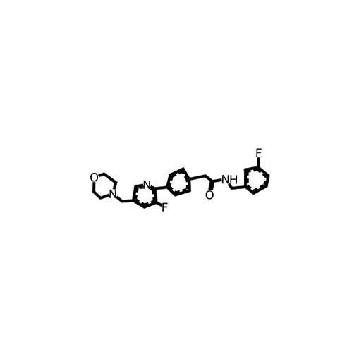 O=C(Cc1ccc(-c2ncc(CN3CCOCC3)cc2F)cc1)NCc1cccc(F)c1